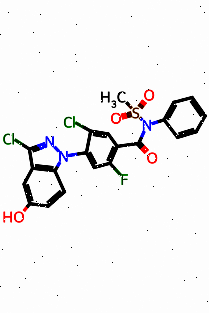 CS(=O)(=O)N(C(=O)c1cc(Cl)c(-n2nc(Cl)c3cc(O)ccc32)cc1F)c1ccccc1